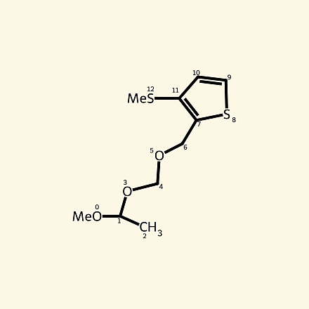 COC(C)OCOCc1sccc1SC